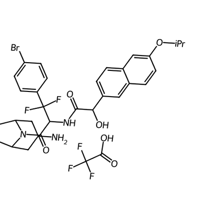 CC(C)Oc1ccc2cc(C(O)C(=O)NC(C(=O)N3C4CCC3CC(N)C4)C(F)(F)c3ccc(Br)cc3)ccc2c1.O=C(O)C(F)(F)F